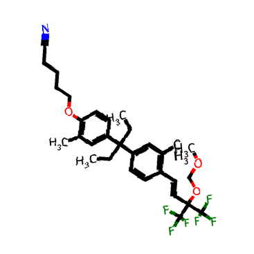 CCC(CC)(c1ccc(C=CC(OCOC)(C(F)(F)F)C(F)(F)F)c(C)c1)c1ccc(OCCCCC#N)c(C)c1